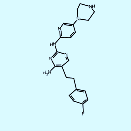 Nc1nc(Nc2ccc(N3CCNCC3)cn2)ncc1CCc1ccc(F)cc1